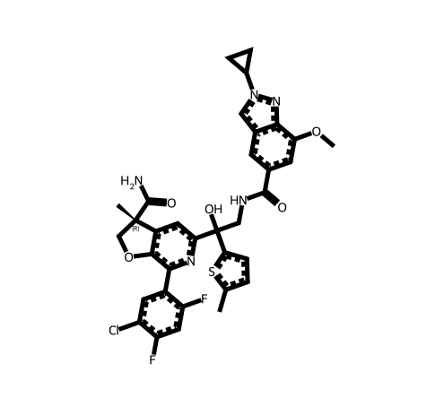 COc1cc(C(=O)NCC(O)(c2cc3c(c(-c4cc(Cl)c(F)cc4F)n2)OC[C@]3(C)C(N)=O)c2ccc(C)s2)cc2cn(C3CC3)nc12